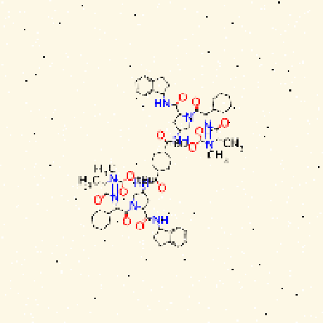 C[C@@H](C(=O)N[C@H](C(=O)N1C[C@@H](NC(=O)C2CCC(C(=O)N[C@H]3C[C@@H](C(=O)N[C@@H]4CCc5ccccc54)N(C(=O)[C@@H](NC(=O)[C@H](C)N(C)C(=O)OC(C)(C)C)C4CCCCC4)C3)CC2)C[C@H]1C(=O)N[C@@H]1CCc2ccccc21)C1CCCCC1)N(C)C(=O)OC(C)(C)C